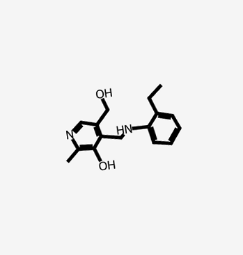 CCc1ccccc1NCc1c(CO)cnc(C)c1O